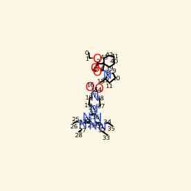 CCOC(=O)C1(C(=O)N2CCCC2COC(=O)N2CCN(c3nc(N(CC)CC)nc(N(CC)CC)n3)CC2)CCCCC1